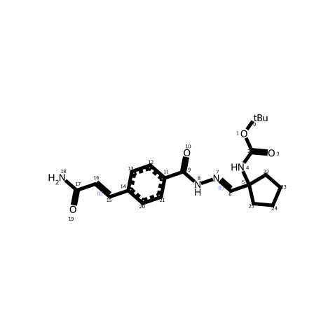 CC(C)(C)OC(=O)NC1(/C=N/NC(=O)c2ccc(/C=C/C(N)=O)cc2)CCCC1